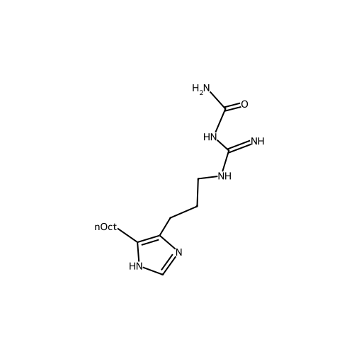 CCCCCCCCc1[nH]cnc1CCCNC(=N)NC(N)=O